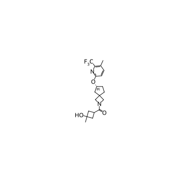 Cc1ccc(O[C@@H]2CCC3(C2)CN(C(=O)C2CC(C)(O)C2)C3)nc1C(F)(F)F